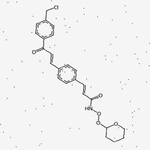 O=C(/C=C/c1ccc(/C=C/C(=O)c2ccc(CCl)cc2)cc1)NOOC1CCCCO1